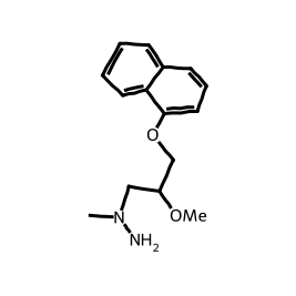 COC(COc1cccc2ccccc12)CN(C)N